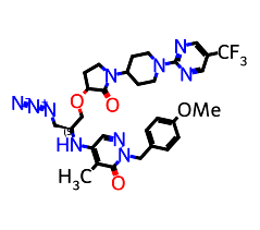 COc1ccc(Cn2ncc(N[C@@H](CN=[N+]=[N-])COC3CCN(C4CCN(c5ncc(C(F)(F)F)cn5)CC4)C3=O)c(C)c2=O)cc1